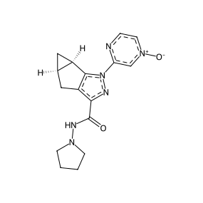 O=C(NN1CCCC1)c1nn(-c2c[n+]([O-])ccn2)c2c1C[C@H]1C[C@@H]21